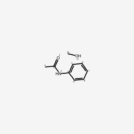 CC(=O)Nc1ccccc1.CO